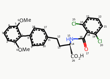 COc1cccc(OC)c1-c1ccc(CC[C@@H](NC(=O)c2c(Cl)cccc2Cl)C(=O)O)cc1